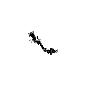 CC1(C)[C@H](NC(=O)c2ccc(CCCCCCN3CCN(c4ccc5c(c4)C(=O)N(C4CCC(=O)NC4=O)C5=O)CC3)cc2)C(C)(C)[C@H]1Oc1ccc(C#N)c(C(F)(F)F)c1